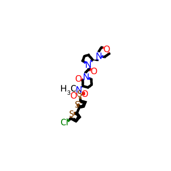 CN([C@@H]1CCCN(CC(=O)N2CCC[C@H]2CN2CCOCC2)C1=O)S(=O)(=O)c1ccc(-c2ccc(Cl)s2)s1